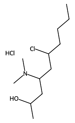 CCCCC(Cl)CC(CC(C)O)N(C)C.Cl